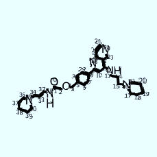 O=C(COCc1ccc(-c2cc(NCCCN3CCCCC3)c3cnccc3n2)cc1)NCCCN1CCCCC1